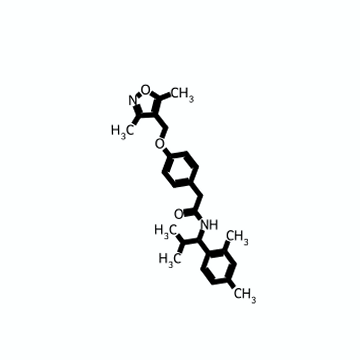 Cc1ccc(C(NC(=O)Cc2ccc(OCc3c(C)noc3C)cc2)C(C)C)c(C)c1